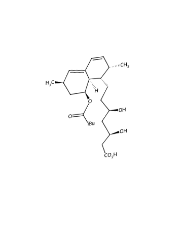 CCC(C)C(=O)O[C@H]1C[C@@H](C)C=C2C=C[C@H](C)[C@H](CC[C@@H](O)C[C@@H](O)CC(=O)O)[C@H]21